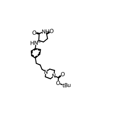 CC(C)(C)OC(=O)N1CCN(CCCc2ccc(N[C@H]3CCC(=O)NC3=O)cc2)CC1